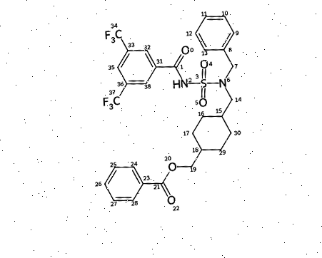 O=C(NS(=O)(=O)N(Cc1ccccc1)CC1CCC(COC(=O)c2ccccc2)CC1)c1cc(C(F)(F)F)cc(C(F)(F)F)c1